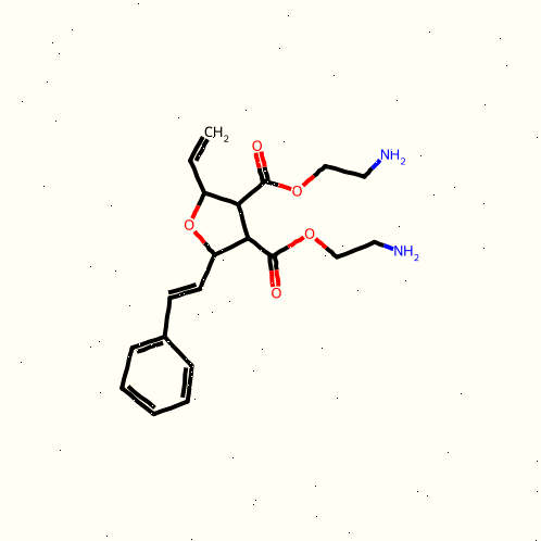 C=CC1OC(/C=C/c2ccccc2)C(C(=O)OCCN)C1C(=O)OCCN